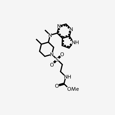 COC(=O)NCCS(=O)(=O)N1CCC(C)C(N(C)c2ncnc3[nH]ccc23)C1